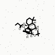 C=C1C(=C)[C@@]23[C@@H]4OC(C)(C)O[C@@H]2C[C@@H]2C(C)(C)CCC[C@@]2(COC(=O)CC)[C@@H]3[C@@H](O)C[C@@H]14